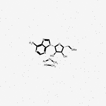 CS.CSC[C@H]1O[C@@H](n2cnc3c(N)ncnc32)[C@H](O)[C@@H]1O.C[Te]C(C)=O